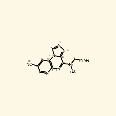 CCN(CNC)c1nc2ncc(C#N)cc2n2cnnc12